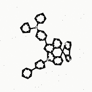 c1ccc(-c2ccc(-n3c4cccc5c4c4c6c(cccc6c(-c6ccc(N(c7ccccc7)c7ccccc7)cc6)cc43)C53c4ccccc4-c4ccccc43)cc2)cc1